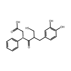 O=C(O)CN(C(=O)C(CS)Cc1ccc(O)c(O)c1)c1ccccc1